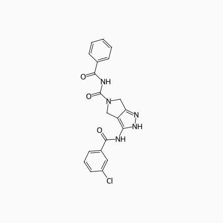 O=C(NC(=O)N1Cc2n[nH]c(NC(=O)c3cccc(Cl)c3)c2C1)c1ccccc1